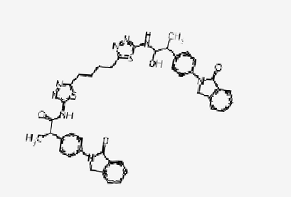 CC(C(=O)Nc1nnc(CCCCc2nnc(NC(O)C(C)c3ccc(N4Cc5ccccc5C4=O)cc3)s2)s1)c1ccc(N2Cc3ccccc3C2=O)cc1